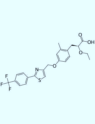 CCO[C@@H](Cc1ccc(OCc2csc(-c3ccc(C(F)(F)F)cc3)n2)cc1C)C(=O)O